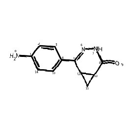 Nc1ccc(C2=NNC(=O)C3CC23)cc1